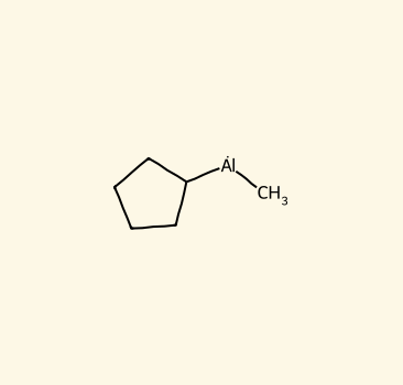 [CH3][Al][CH]1CCCC1